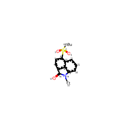 CCCCS(=O)(=O)c1ccc2c3c(cccc13)N(CC)C2=O